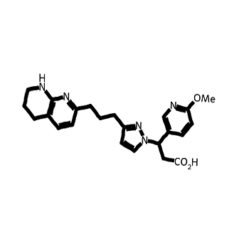 COc1ccc(C(CC(=O)O)n2ccc(CCCc3ccc4c(n3)NCCC4)n2)cn1